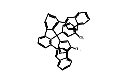 Cc1cc(C2(c3ccc(O)c(C)c3)c3c(-c4ccc5ccccc5c4)cccc3-c3cccc(-c4ccc5ccccc5c4)c32)ccc1O